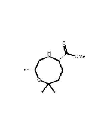 COC(=O)[C@@H]1CCC(C)(C)O[C@H](C)CN1